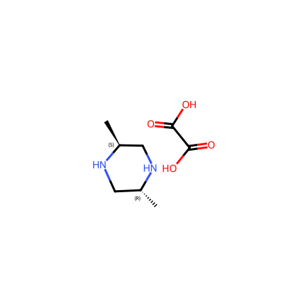 C[C@@H]1CN[C@@H](C)CN1.O=C(O)C(=O)O